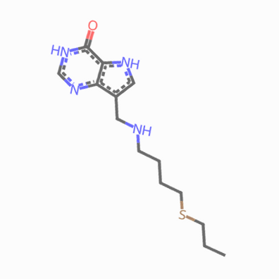 CCCSCCCCNCc1c[nH]c2c(=O)[nH]cnc12